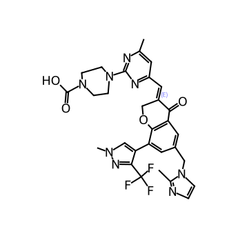 Cc1cc(/C=C2\COc3c(cc(Cn4ccnc4C)cc3-c3cn(C)nc3C(F)(F)F)C2=O)nc(N2CCN(C(=O)O)CC2)n1